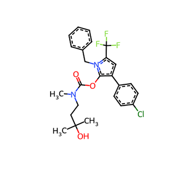 CN(CCC(C)(C)O)C(=O)Oc1c(-c2ccc(Cl)cc2)cc(C(F)(F)F)n1Cc1ccccc1